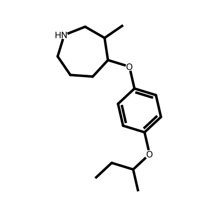 CCC(C)Oc1ccc(OC2CCCNCC2C)cc1